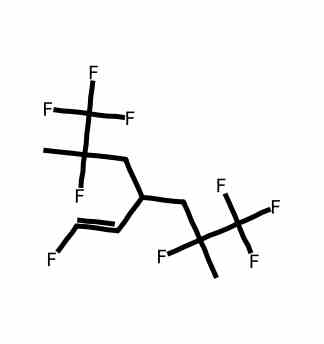 CC(F)(CC(C=CF)CC(C)(F)C(F)(F)F)C(F)(F)F